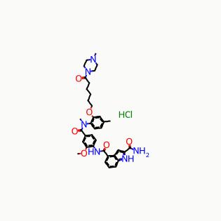 COc1cc(C(=O)N(C)c2ccc(C)cc2OCCCCCC(=O)N2CCN(C)CC2)ccc1NC(=O)c1cccc2[nH]c(C(N)=O)cc12.Cl